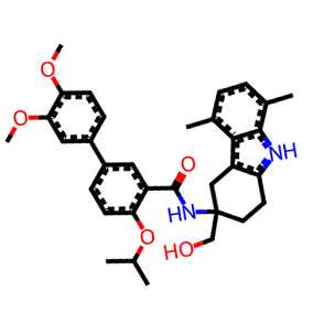 COc1ccc(-c2ccc(OC(C)C)c(C(=O)NC3(CO)CCc4[nH]c5c(C)ccc(C)c5c4C3)c2)cc1OC